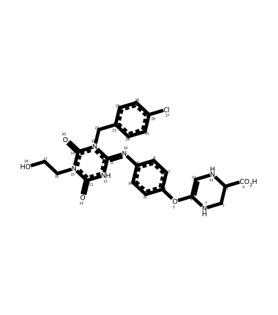 O=C(O)C1CNC(Oc2ccc(/N=c3\[nH]c(=O)n(CCO)c(=O)n3Cc3ccc(Cl)cc3)cc2)=CN1